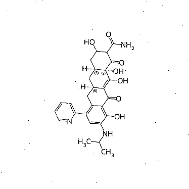 CC(C)Nc1cc(-c2ccccn2)c2c(c1O)C(=O)C1=C(O)[C@]3(O)C(=O)C(C(N)=O)C(O)C[C@@H]3C[C@@H]1C2